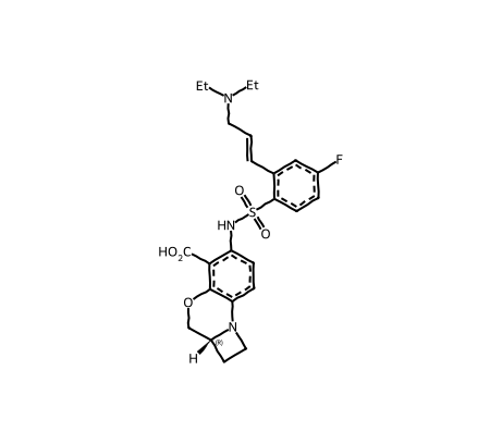 CCN(CC)CC=Cc1cc(F)ccc1S(=O)(=O)Nc1ccc2c(c1C(=O)O)OC[C@H]1CCN21